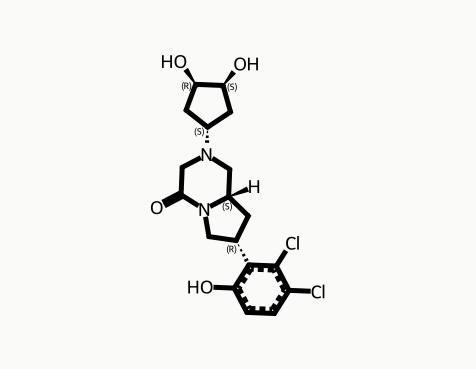 O=C1CN([C@@H]2C[C@@H](O)[C@@H](O)C2)C[C@@H]2C[C@H](c3c(O)ccc(Cl)c3Cl)CN12